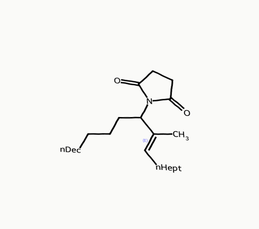 CCCCCCC/C=C(\C)C(CCCCCCCCCCCCC)N1C(=O)CCC1=O